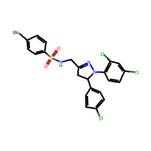 CC(C)(C)c1ccc(S(=O)(=O)NCC2=NN(c3ccc(Cl)cc3Cl)C(c3ccc(Cl)cc3)C2)cc1